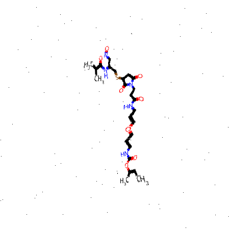 CCC(C)OC(=O)NCCCOCCCNC(=O)CCN1C(=O)CC(SCC(CN=O)NC(=O)C(C)C)C1=O